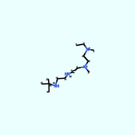 CCN(C)CCN(C)CCNCCNC(C)(C)C